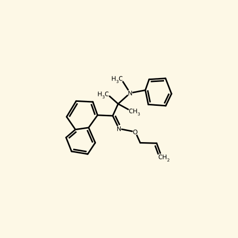 C=CCON=C(c1cccc2ccccc12)C(C)(C)N(C)c1ccccc1